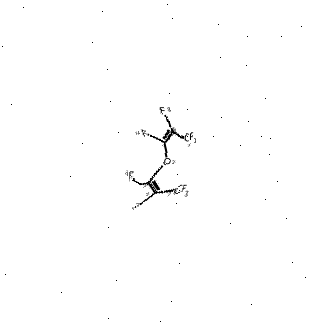 F/C(O/C(F)=C(/F)C(F)(F)F)=C(\F)C(F)(F)F